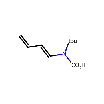 C=CC=CN(C(=O)O)C(C)(C)C